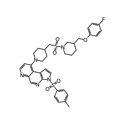 Cc1ccc(S(=O)(=O)n2ccc3c4c(N5CCC(CS(=O)(=O)N6CCCC(COc7ccc(F)cc7)C6)CC5)ccnc4cnc32)cc1